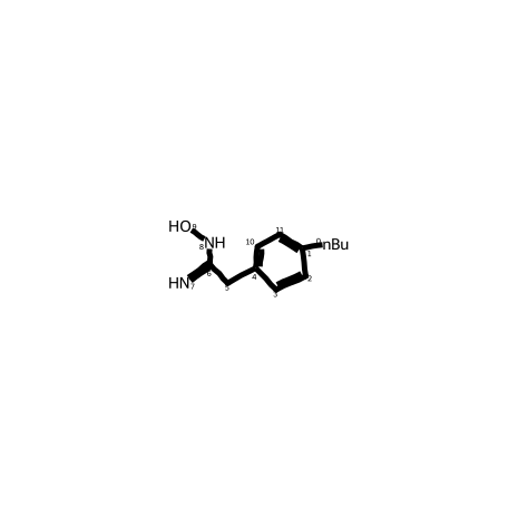 CCCCc1ccc(CC(=N)NO)cc1